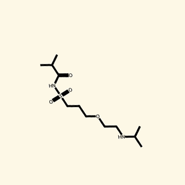 CC(C)NCCOCCCS(=O)(=O)NC(=O)C(C)C